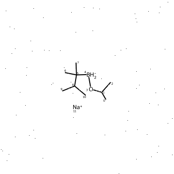 CC(C)O[BH2-]C(C)(C)C(C)C.[Na+]